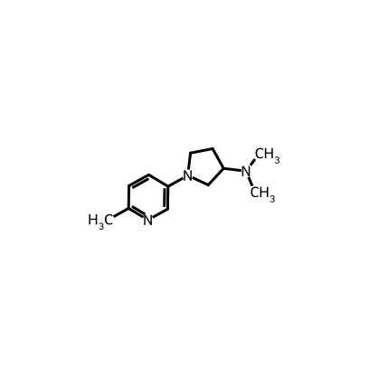 Cc1ccc(N2CCC(N(C)C)C2)cn1